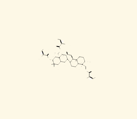 C=CCC1[C@@]2(C)CC[C@H](O)[C@](C)(COC(=O)/C(C)=C\C)C2CC[C@@]1(C)[C@@]1(C)CC2CC(C)(C)[C@@H](OC(=O)/C(C)=C\C)[C@H](O)[C@]2(COC(=O)/C(C)=C\C)[C@H](O)C1